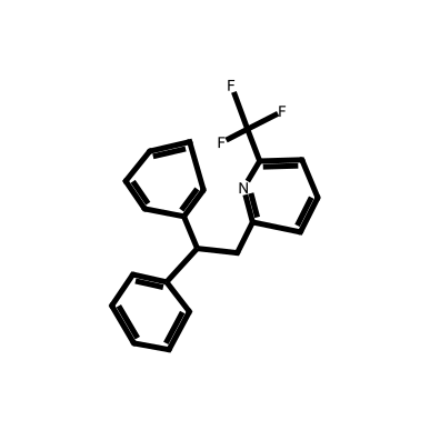 FC(F)(F)c1cccc(CC(c2ccccc2)c2ccccc2)n1